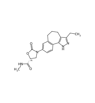 CCc1n[nH]c2c1CCCc1cc(N3C[C@H](C(=O)NC)OC3=O)ccc1-2